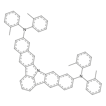 Cc1ccccc1N(c1ccc2cc3c4cccc5c6cc7ccc(N(c8ccccc8C)c8ccccc8C)cc7cc6n(c3cc2c1)c45)c1ccccc1C